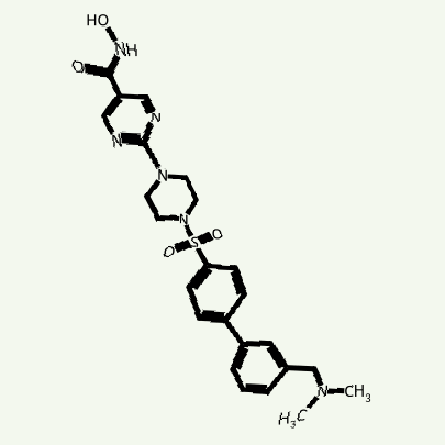 CN(C)Cc1cccc(-c2ccc(S(=O)(=O)N3CCN(c4ncc(C(=O)NO)cn4)CC3)cc2)c1